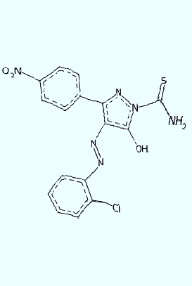 NC(=S)n1nc(-c2ccc([N+](=O)[O-])cc2)c(/N=N/c2ccccc2Cl)c1O